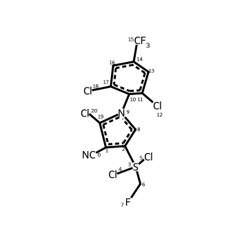 N#Cc1c(S(Cl)(Cl)CF)cn(-c2c(Cl)cc(C(F)(F)F)cc2Cl)c1Cl